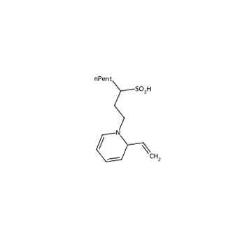 C=CC1C=CC=CN1CCC(CCCCC)S(=O)(=O)O